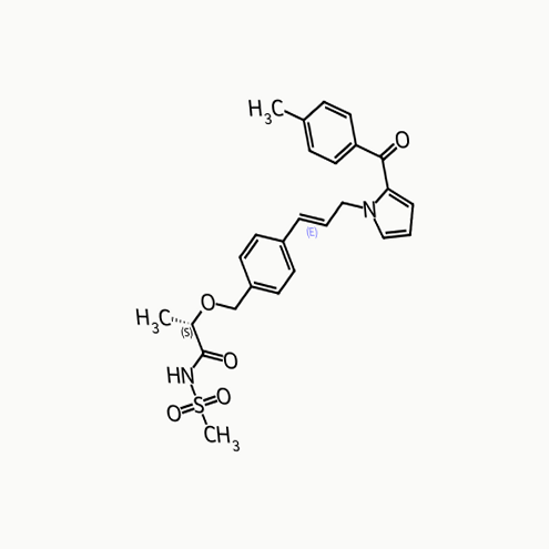 Cc1ccc(C(=O)c2cccn2C/C=C/c2ccc(CO[C@@H](C)C(=O)NS(C)(=O)=O)cc2)cc1